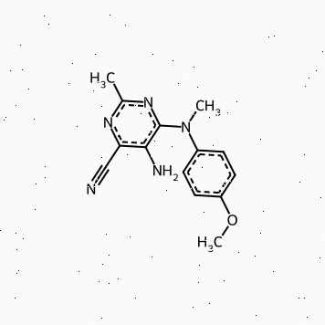 COc1ccc(N(C)c2nc(C)nc(C#N)c2N)cc1